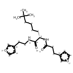 CC(C)(C)CCCC[C@H](NC(=O)CCc1ccoc1)C(=O)NCCc1ccoc1